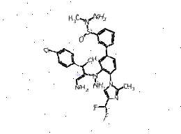 Cc1nc(C(F)F)cn1-c1ccc(-c2cccc([S+]([O-])N(C)N)c2)cc1N(N)/C(=C\N)C(C)c1ccc(Cl)cc1